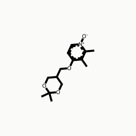 Cc1c(OCC2COC(C)(C)OC2)cc[n+]([O-])c1C